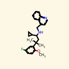 COc1ccc(F)cc1C(C)(C)CC(NCc1ccnc2ccccc12)C1CC1